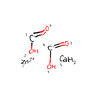 O=[C-]O.O=[C-]O.[CaH2].[Zn+2]